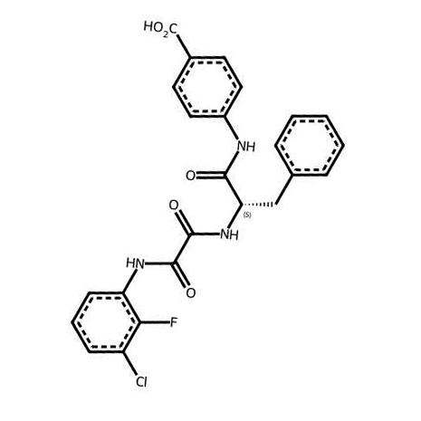 O=C(Nc1cccc(Cl)c1F)C(=O)N[C@@H](Cc1ccccc1)C(=O)Nc1ccc(C(=O)O)cc1